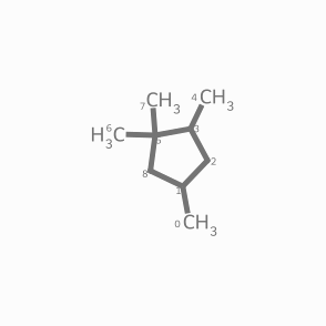 CC1CC(C)C(C)(C)C1